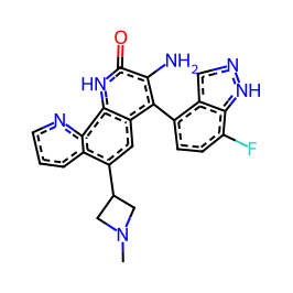 CN1CC(c2cc3c(-c4ccc(F)c5[nH]ncc45)c(N)c(=O)[nH]c3c3ncccc23)C1